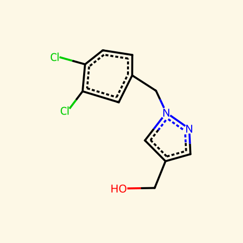 OCc1cnn(Cc2ccc(Cl)c(Cl)c2)c1